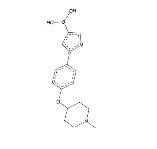 CN1CCC(Oc2ccc(-n3cc(B(O)O)cn3)cc2)CC1